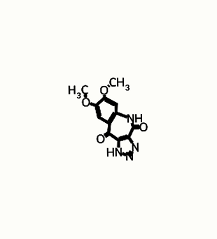 COc1cc2[nH]c(=O)c3nn[nH]c3c(=O)c2cc1OC